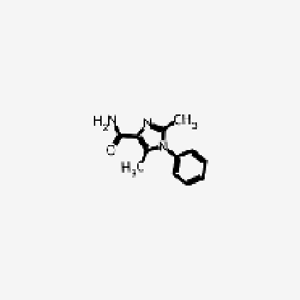 Cc1nc(C(N)=O)c(C)n1-c1ccccc1